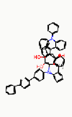 BC1=C(O)CC(c2ccccc2)=C(O)C(O)=C1N(c1ccc(C(=C)/C=C\C(=C)c2ccccc2)cc1)c1ccccc1-c1cccc(-c2cccc3c2-c2ccccc2N(c2ccccc2)C3)c1